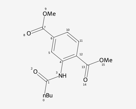 CCCCC(=O)Nc1cc(C(=O)OC)ccc1C(=O)OC